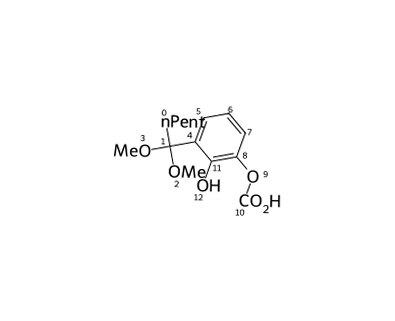 CCCCCC(OC)(OC)c1cccc(OC(=O)O)c1O